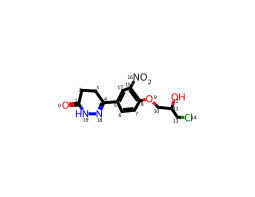 O=C1CCC(c2ccc(OCC(O)CCl)c([N+](=O)[O-])c2)=NN1